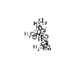 CCC(Nc1cc(C(F)F)c(-c2sc(C(=O)N[C@@H]3C[C@H]3O[Si](C)(C)C(C)(C)C)nc2C(=O)N2CCC[C@@H]2C)cn1)C(F)(F)F